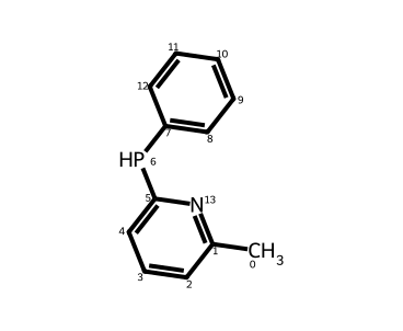 Cc1cccc(Pc2ccccc2)n1